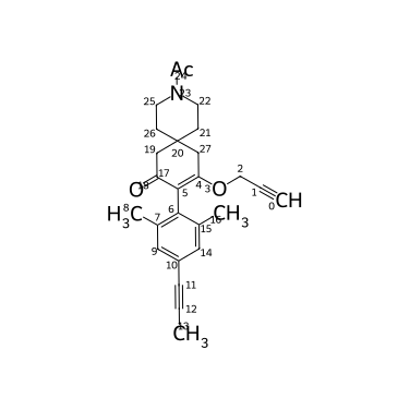 C#CCOC1=C(c2c(C)cc(C#CC)cc2C)C(=O)CC2(CCN(C(C)=O)CC2)C1